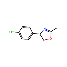 CC1=NC(c2ccc(Cl)cc2)CO1